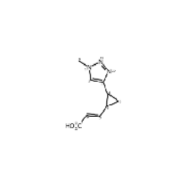 Cn1cc(C2CC2C=CC(=O)O)nn1